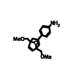 COCC12C=CC(COC)(CC(c3ccc(N)cc3)=C1)O2